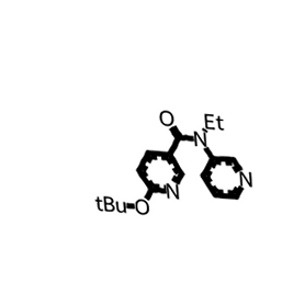 CCN(C(=O)c1ccc(OC(C)(C)C)nc1)c1cccnc1